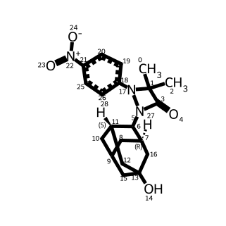 CC1(C)C(=O)N(C2[C@@H]3CC4C[C@H]2CC(O)(C4)C3)N1c1ccc([N+](=O)[O-])cc1